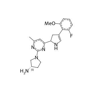 COc1cccc(F)c1C1=CNC(c2cc(C)nc(N3CC[C@H](N)C3)n2)C1